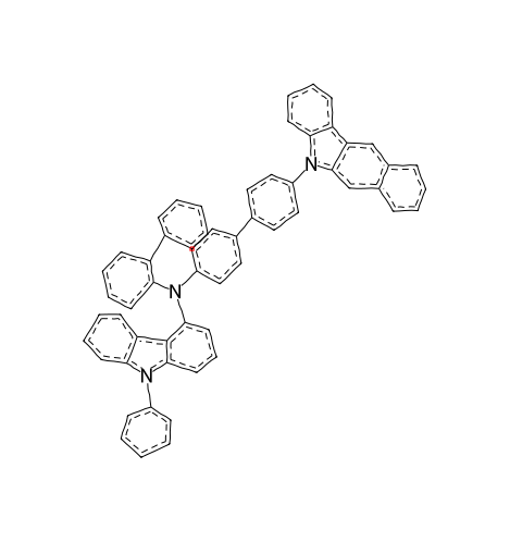 c1ccc(-c2ccccc2N(c2ccc(-c3ccc(-n4c5ccccc5c5cc6ccccc6cc54)cc3)cc2)c2cccc3c2c2ccccc2n3-c2ccccc2)cc1